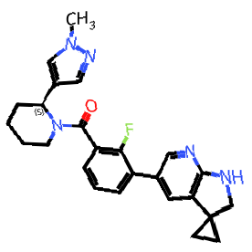 Cn1cc([C@@H]2CCCCN2C(=O)c2cccc(-c3cnc4c(c3)C3(CC3)CN4)c2F)cn1